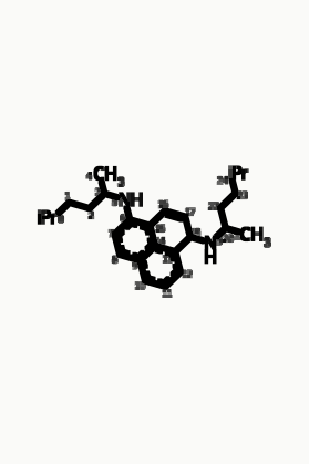 CC(C)CCC(C)Nc1ccc2cccc3c2c1C=CC3NC(C)CCC(C)C